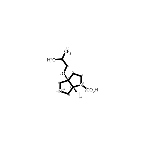 CC(CO[C@@]12CCN(C(=O)O)[C@@H]1CNC2)C(F)(F)F